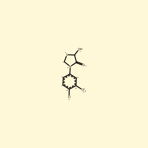 O=C1C(O)SCN1c1ccc(Cl)c(C(F)(F)F)c1